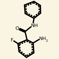 Nc1cccc(F)c1C(=O)Nc1ccccc1